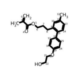 C=C(C)C(=O)OCCCc1cc(C)ccc1-c1ccc(OCCO)cc1